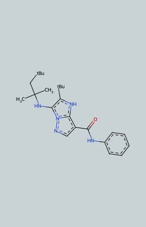 CC(C)(C)CC(C)(C)Nc1c(C(C)(C)C)[nH]c2c(C(=O)Nc3ccccc3)cnn12